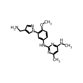 CNc1cc(C)nc(Nc2ccc(OC)c(-n3cc(CN)cn3)c2)n1